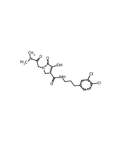 CN(C)C(=O)CN1CC(C(=O)NCCCc2ccc(Cl)c(Cl)c2)=C(O)C1=O